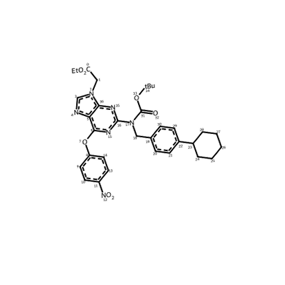 CCOC(=O)Cn1cnc2c(Oc3ccc([N+](=O)[O-])cc3)nc(N(Cc3ccc(C4CCCCC4)cc3)C(=O)OC(C)(C)C)nc21